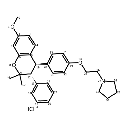 COc1ccc2c(c1)OC(C)(C)[C@@H](c1ccccc1)[C@@H]2c1ccc(OCCN2CCCC2)cc1.Cl